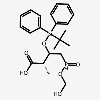 C[C@H](C(=O)O)C(C[PH](=O)OCO)O[Si](c1ccccc1)(c1ccccc1)C(C)(C)C